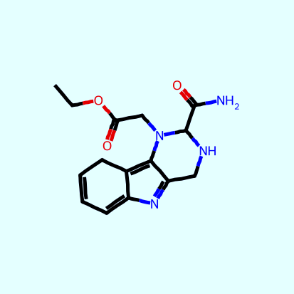 CCOC(=O)CN1C2=C3CC=CC=C3N=C2CNC1C(N)=O